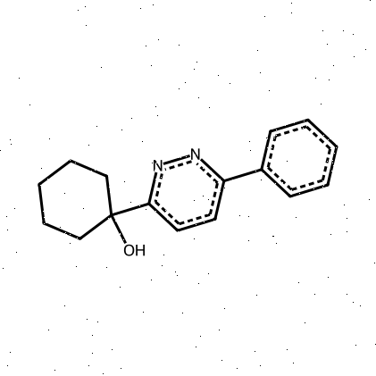 OC1(c2ccc(-c3ccccc3)nn2)CCCCC1